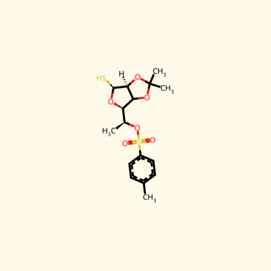 Cc1ccc(S(=O)(=O)O[C@@H](C)[C@H]2O[C@@H](S)[C@H]3OC(C)(C)OC23)cc1